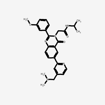 COc1cccc(-c2nc3ccc(-c4cc(CN(C)C)ccn4)cc3c(=O)n2CC(=O)NC(C)C)c1